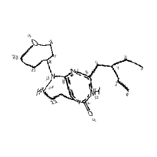 CCC(CC)Cc1nc2c(c(=O)[nH]1)CNN2C1CCOCC1